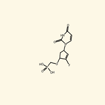 O=c1ccn(C2C=C(F)C(OCP(=O)(O)O)C2)c(=O)[nH]1